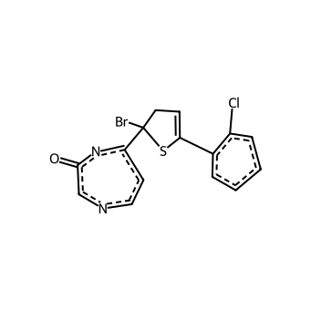 O=c1cnccc(C2(Br)CC=C(c3ccccc3Cl)S2)n1